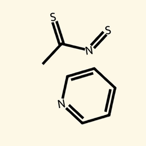 CC(=S)N=S.c1ccncc1